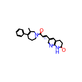 CC1=C(c2ccccc2)CCCN(C(=O)/C=C/c2cnc3c(c2)CCC(=O)N3)C1